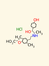 Cc1cc(OCC(=O)O)c(C)cc1CCN[C@@H](C)[C@H](O)c1ccc(O)cc1.Cl